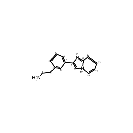 NCCc1cccc(-c2cn3ccccc3n2)c1